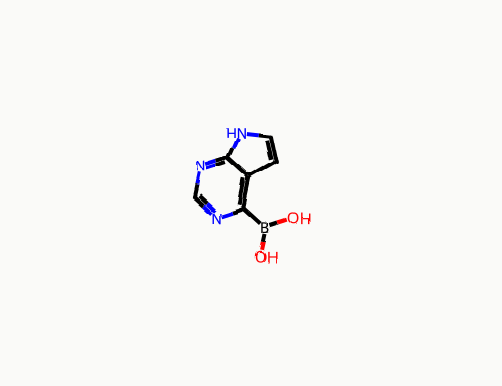 OB(O)c1ncnc2[nH]ccc12